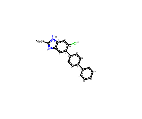 CSc1nc2cc(-c3ccc(-c4ccccc4)cc3)c(Cl)cc2[nH]1